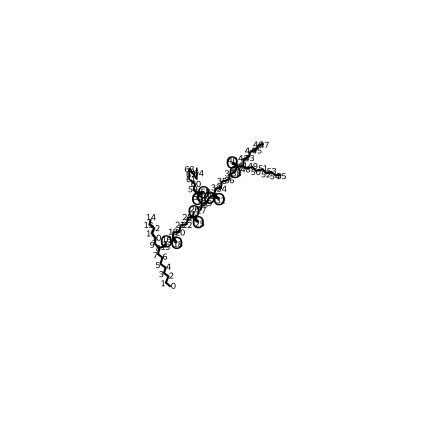 CCCCCCCCC(CCCCCC)COC(=O)CCCCCC(=O)OCC(COC(=O)CCCCCOC(=O)C(CCCCCC)CCCCCCCC)OC(=O)CCCN(C)C